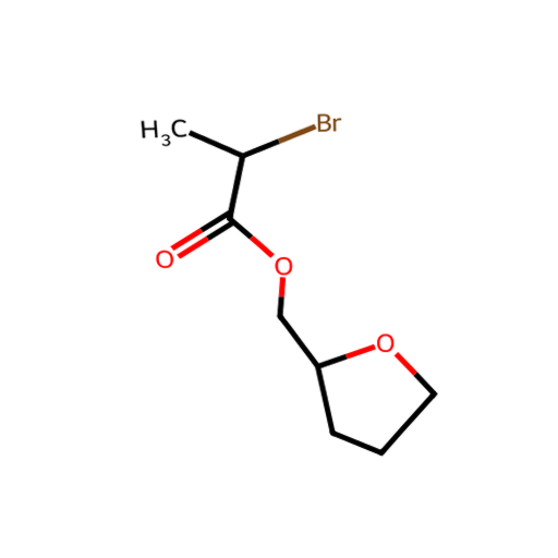 CC(Br)C(=O)OCC1CCCO1